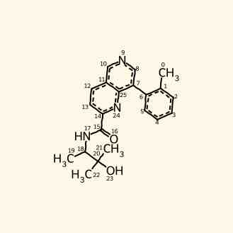 Cc1ccccc1-c1cncc2ccc(C(=O)NC(C)C(C)(C)O)nc12